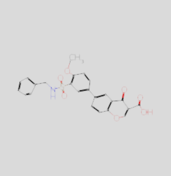 COc1ccc(-c2ccc3occ(C(=O)O)c(=O)c3c2)cc1S(=O)(=O)NCc1ccccc1